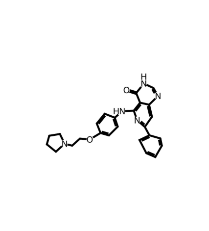 O=c1[nH]cnc2cc(-c3ccccc3)nc(Nc3ccc(OCCN4CCCC4)cc3)c12